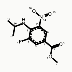 COC(=O)c1cc(F)c(NC(C)C)c([N+](=O)[O-])c1